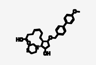 COc1ccc(-c2ccc(CO[C@H]3C[C@@H](O)[C@H](N4CCSCC4)[C@H]3CC/C=C\CCC(=O)O)cc2)cc1